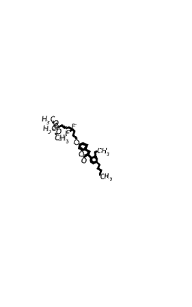 CCCCCc1ccc(-c2cc3ccc(OCCCC(F)(F)CCC[Si](C)(OCC)OCC)cc3oc2=O)c(CC)c1